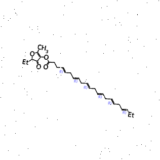 CC/C=C/C/C=C/C/C=C/C/C=C/C/C=C/C/C=C/CCC(=O)OC1=C(C)OC(CC)C1=O